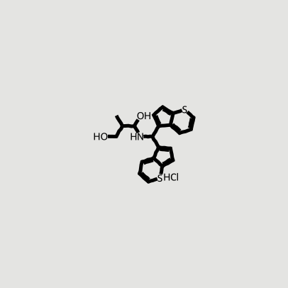 CC(CO)C(O)NC(c1ccc2scccc1-2)c1ccc2scccc1-2.Cl